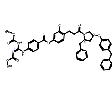 CC(C)(C)OC(=O)/N=C(/NC(=O)OC(C)(C)C)Nc1ccc(C(=O)Oc2ccc(CCC(=O)N3C[C@@H](Oc4ccc(Cc5ccccc5)cc4)C[C@H]3Cc3ccccc3)c(Cl)c2)cc1